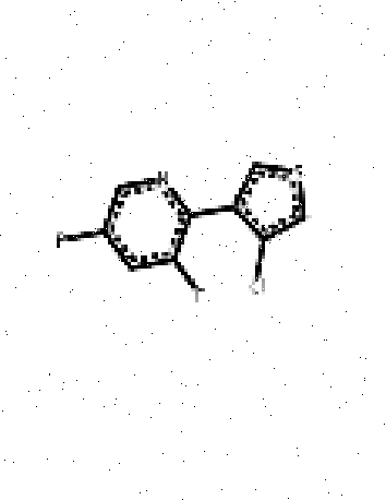 Fc1cnc(-c2cs[c]c2Cl)c(F)c1